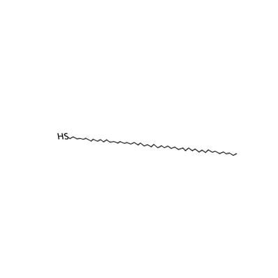 CCCCCCCCCCCCCCCCCCCCCCCCCCCCCCCCCCCCCCCCCCCCCCCCCCS